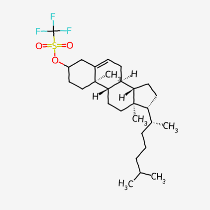 CC(C)CCC[C@@H](C)[C@H]1CC[C@H]2[C@@H]3CC=C4CC(OS(=O)(=O)C(F)(F)F)CC[C@]4(C)[C@H]3CC[C@]12C